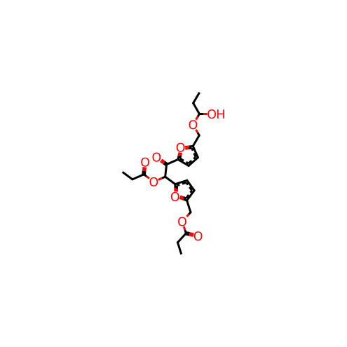 CCC(=O)OCc1ccc(C(OC(=O)CC)C(=O)c2ccc(COC(O)CC)o2)o1